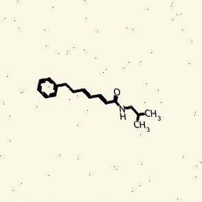 CC(C)CNC(=O)/C=C/C=C/CCc1ccccc1